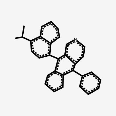 CC(C)c1ccc(-c2c3ccccc3c(-c3ccccc3)c3ccncc23)c2ccccc12